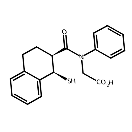 O=C(O)CN(C(=O)[C@@H]1CCc2ccccc2[C@@H]1S)c1ccccc1